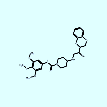 COc1cc(NC(=O)N2CCC(NCC(O)C3COc4ccccc4O3)CC2)cc(OC)c1OC